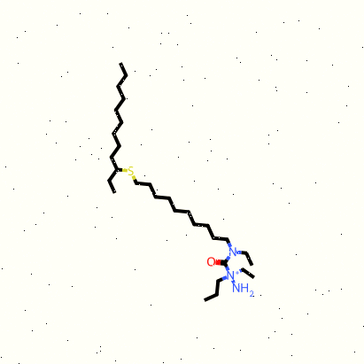 CCCCCCCCCC(CC)SCCCCCCCCCCN(CC)C(=O)[N+](N)(CC)CCC